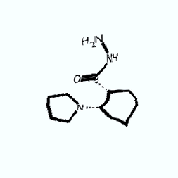 NNC(=O)[C@@H]1CCCC[C@@H]1N1CCCC1